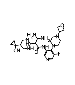 N#CC1(C2CNC(C(C(=O)Nc3cncc(F)c3N3CCN(C4COC4)CC3)C(N)N)NC2)CC1